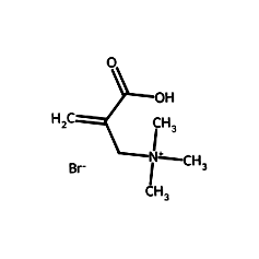 C=C(C[N+](C)(C)C)C(=O)O.[Br-]